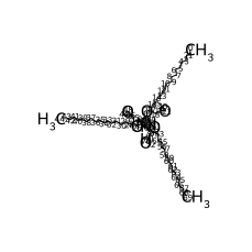 CCCCCCCCCCCCCCCCCC(CC1CO1)OC1=CN(OC(CCCCCCCCCCCCCCCCC)CC2CO2)NN(OC(CCCCCCCCCCCCCCCCC)CC2CO2)C1